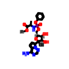 CC(C)OC(=O)C(C)NP(=O)(OC[C@H]1OC(C#N)(c2ccc3c(N)ncnn23)[C@H](O)[C@@H]1O)Oc1ccccc1